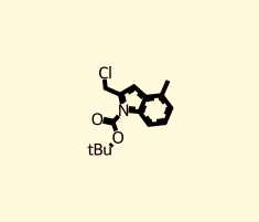 Cc1cccc2c1cc(CCl)n2C(=O)OC(C)(C)C